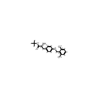 CC(C)(C)OC(=O)[C@@H](N)Cc1ccc(OCc2c(Cl)cccc2Cl)cc1